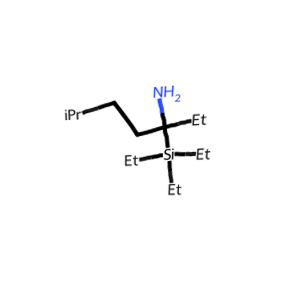 CCC(N)(CCC(C)C)[Si](CC)(CC)CC